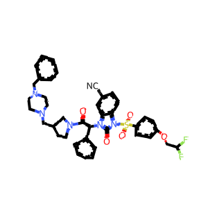 N#Cc1ccc2c(c1)n(C(C(=O)N1CCC(CN3CCN(Cc4ccccc4)CC3)C1)c1ccccc1)c(=O)n2S(=O)(=O)c1ccc(OCC(F)F)cc1